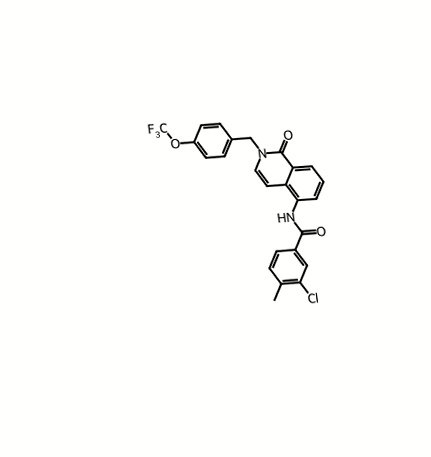 Cc1ccc(C(=O)Nc2cccc3c(=O)n(Cc4ccc(OC(F)(F)F)cc4)ccc23)cc1Cl